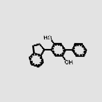 Oc1cc(C2CCc3ccccc32)c(O)cc1-c1ccccc1